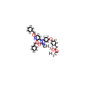 COC(=O)Cc1ccc(Oc2ccc3c(c2)n(C)c(=O)n3-c2ccc(OCc3ccccc3)nc2OCc2ccccc2)cc1